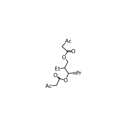 CCCC(OC(=O)CC(C)=O)C(CC)COC(=O)CC(C)=O